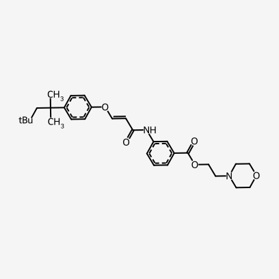 CC(C)(C)CC(C)(C)c1ccc(O/C=C/C(=O)Nc2cccc(C(=O)OCCN3CCOCC3)c2)cc1